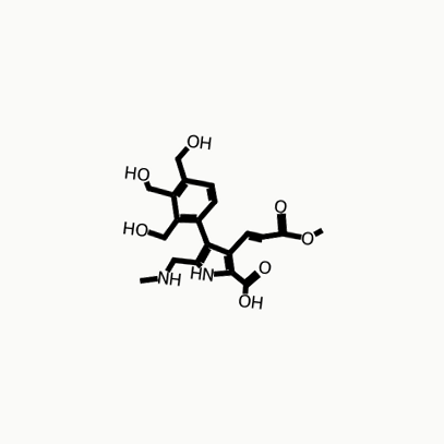 CNCc1[nH]c(C(=O)O)c(/C=C/C(=O)OC)c1-c1ccc(CO)c(CO)c1CO